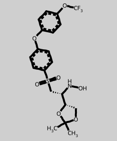 CC1(C)OC[C@@H]([C@H](CS(=O)(=O)c2ccc(Oc3ccc(OC(F)(F)F)cc3)cc2)NO)O1